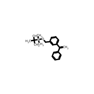 C=C(c1ccccc1)c1cccc(CO[Si](C)(C)C(C)(C)C)c1